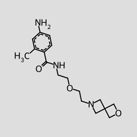 Cc1cc(N)ccc1C(=O)NCCOCCN1CC2(COC2)C1